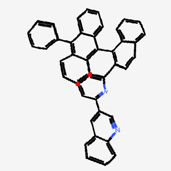 c1ccc(-c2c3ccccc3c(-c3c(-c4cccc(-c5cnc6ccccc6c5)n4)ccc4ccccc34)c3ccccc23)cc1